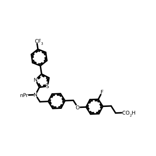 CCCN(Cc1ccc(COc2ccc(CCC(=O)O)c(F)c2)cc1)c1nc(-c2ccc(C(F)(F)F)cc2)cs1